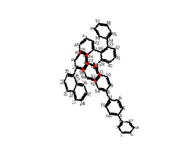 c1ccc(-c2ccc(-c3ccc(N(c4cccc(-c5cccc6ccccc56)c4)c4cccc(-c5ccccc5)c4-c4ccccc4-c4ccccc4)cc3)cc2)cc1